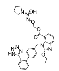 CCOc1nc2cccc(C(=O)OCO/N=[N+](\O)N3CCCC3)c2n1Cc1ccc(-c2ccccc2-c2nnn[nH]2)cc1